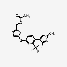 Cn1cc(-c2ccc(Sc3cnc(COC(N)=O)s3)cc2C(F)(F)F)c(F)n1